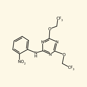 O=[N+]([O-])c1ccccc1Nc1nc(OCC(F)(F)F)nc(OCC(F)(F)F)n1